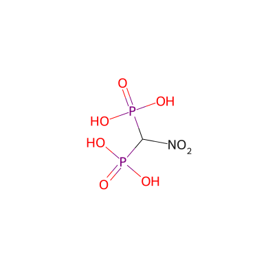 O=[N+]([O-])C(P(=O)(O)O)P(=O)(O)O